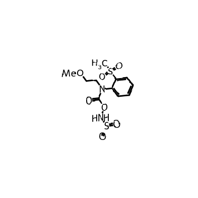 COCCN(C(=O)ON[SH](=O)=O)c1ccccc1S(C)(=O)=O